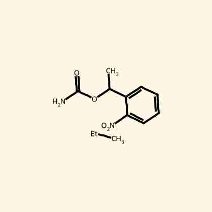 CC(OC(N)=O)c1ccccc1[N+](=O)[O-].CCC